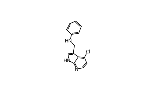 Clc1ccnc2[nH]cc(CNc3ccccc3)c12